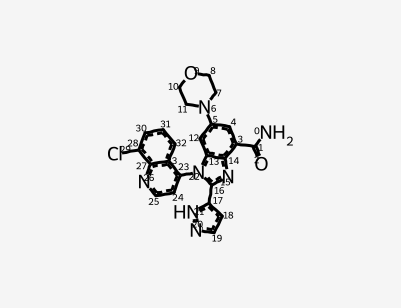 NC(=O)c1cc(N2CCOCC2)cc2c1nc(-c1ccn[nH]1)n2-c1ccnc2c(Cl)cccc12